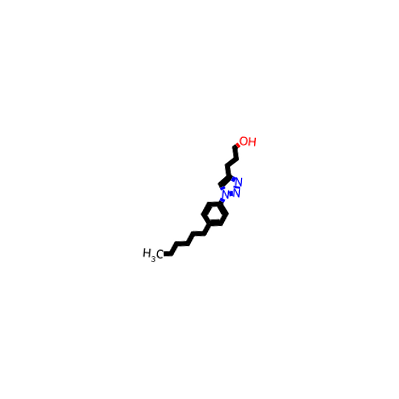 CCCCCCc1ccc(-n2cc(CCCO)nn2)cc1